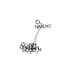 O=CC(Cc1ccccc1)NCCCCCCCCCCCC(NC(=O)O)(NC(=O)O)N[C@H](C=O)Cc1ccccc1